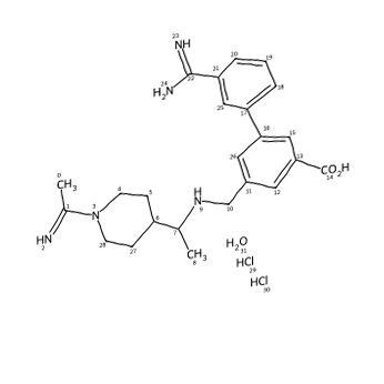 CC(=N)N1CCC(C(C)NCc2cc(C(=O)O)cc(-c3cccc(C(=N)N)c3)c2)CC1.Cl.Cl.O